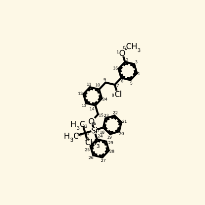 COc1cccc(C(Cl)Cc2cccc(CO[Si](c3ccccc3)(c3ccccc3)C(C)(C)C)c2)c1